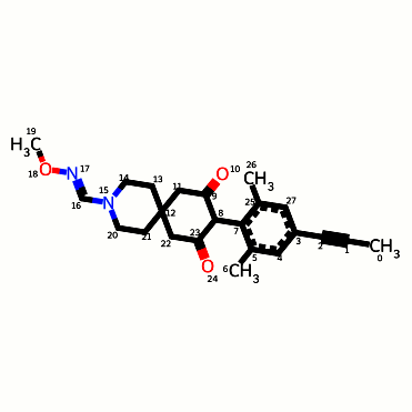 CC#Cc1cc(C)c(C2C(=O)CC3(CCN(/C=N/OC)CC3)CC2=O)c(C)c1